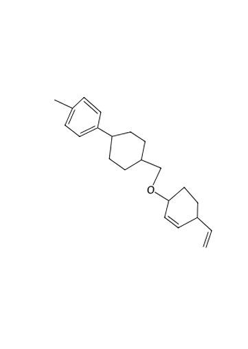 C=CC1C=CC(OCC2CCC(c3ccc(C)cc3)CC2)CC1